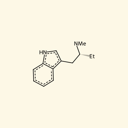 CC[C@H](Cc1c[nH]c2ccccc12)NC